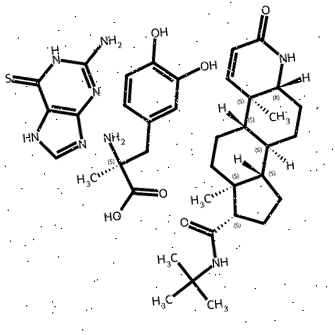 CC(C)(C)NC(=O)[C@H]1CC[C@H]2[C@@H]3CC[C@H]4NC(=O)C=C[C@]4(C)[C@H]3CC[C@]12C.C[C@](N)(Cc1ccc(O)c(O)c1)C(=O)O.Nc1nc2nc[nH]c2c(=S)[nH]1